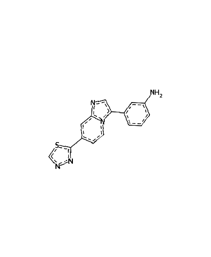 Nc1cccc(-c2cnc3cc(-c4nncs4)ccn23)c1